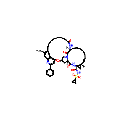 COc1cc2nc(-c3ccccc3)cc3c2cc1CCCCCCCC(=O)N[C@H]1CCCCC/C=C\[C@@H]2C[C@@]2(C(=O)NS(=O)(=O)C2CC2)NC(=O)[C@@H]2C[C@H](CN2C1=O)O3